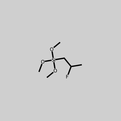 CO[Si](CC(C)F)(OC)OC